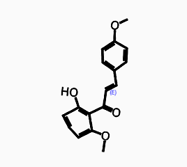 COc1ccc(/C=C/C(=O)c2c(O)cccc2OC)cc1